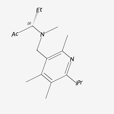 CC[C@@H](C(C)=O)N(C)Cc1c(C)nc(C(C)C)c(C)c1C